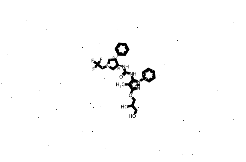 Cc1c(OCC(O)CO)nn(-c2ccccc2)c1NC(=O)N[C@H]1CN(CC(F)(F)F)C[C@@H]1c1ccccc1